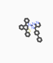 c1ccc(-c2ccc(-c3nc(-n4c5ccccc5c5c6ccccc6c6c7ccccc7sc6c54)nc4ncccc34)cc2)cc1